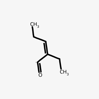 CC/C=C(\[C]=O)CC